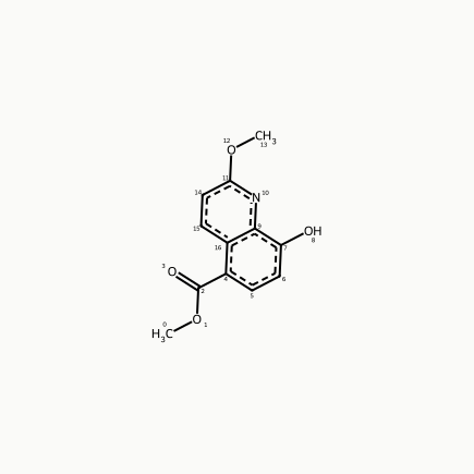 COC(=O)c1ccc(O)c2nc(OC)ccc12